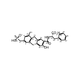 Cc1cc(CP(C)(=O)O)cc(C)c1Cc1ccc(O)c(C(=O)N[C@@H](Cc2ccccc2)C(=O)O)c1